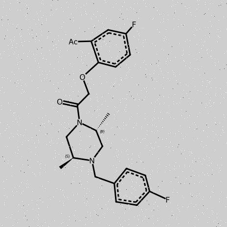 CC(=O)c1cc(F)ccc1OCC(=O)N1C[C@H](C)N(Cc2ccc(F)cc2)C[C@H]1C